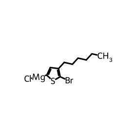 CCCCCCc1c[c]([Mg][Cl])sc1Br